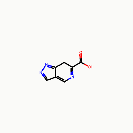 O=C(O)C1=NC=C2C=NN=C2C1